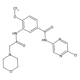 O=C(CN1CCOCC1)Nc1cc(C(=O)Nc2cnc(Cl)cn2)ccc1OC(F)(F)F